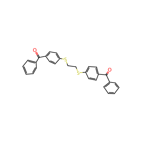 O=C(c1ccccc1)c1ccc(SCCSc2ccc(C(=O)c3ccccc3)cc2)cc1